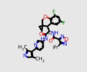 CC1=NCC(C)=C1c1ccc(NC(=O)[C@@H](NC(=O)c2nonc2C(C)C)C2c3cc(F)cc(F)c3OCC23CC3)cn1